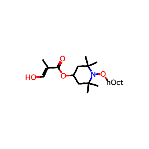 CCCCCCCCON1C(C)(C)CC(OC(=O)C(C)=CO)CC1(C)C